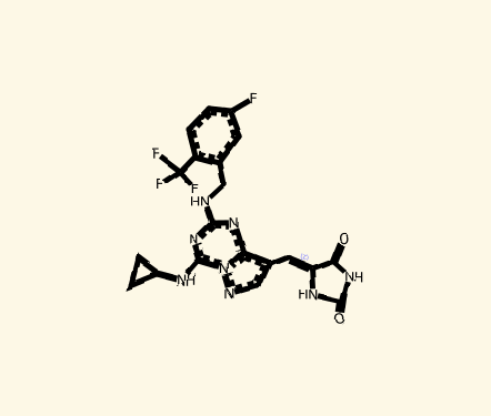 O=C1NC(=O)/C(=C/c2cnn3c(NC4CC4)nc(NCc4cc(F)ccc4C(F)(F)F)nc23)N1